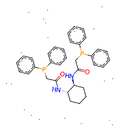 O=C(CP(c1ccccc1)c1ccccc1)N[C@H]1CCCC[C@@H]1NC(=O)CP(c1ccccc1)c1ccccc1